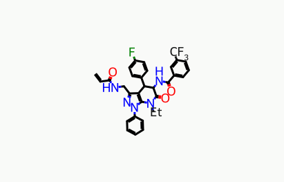 C=CC(=O)NCc1nn(-c2ccccc2)c2c1C(c1ccc(F)cc1)C(NC(=O)c1cccc(C(F)(F)F)c1)C(=O)N2CC